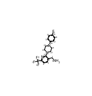 NCc1ccc(C(F)(F)F)nc1N1CCN(c2ccc(F)cc2)CC1